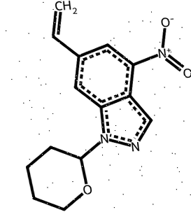 C=Cc1cc([N+](=O)[O-])c2cnn(C3CCCCO3)c2c1